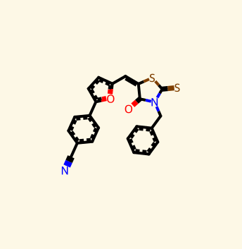 N#Cc1ccc(-c2ccc(C=C3SC(=S)N(Cc4ccccc4)C3=O)o2)cc1